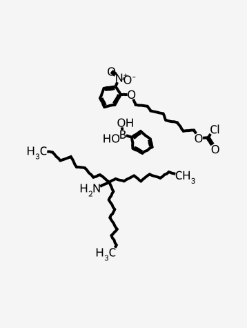 CCCCCCCCC(N)(CCCCCCCC)CCCCCCCC.O=C(Cl)OCCCCCCCCOc1ccccc1[N+](=O)[O-].OB(O)c1ccccc1